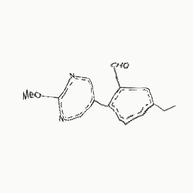 COc1ncc(-c2ccc(C)cc2C=O)cn1